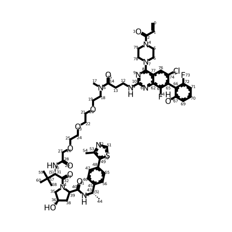 C=CC(=O)N1CCN(c2nc(NCCC(=O)N(C)CCOCCOCCOCC(=O)N[C@H](C(=O)N3CC(O)CC3C(=O)N[C@@H](C)c3ccc(-c4scnc4C)cc3)C(C)(C)C)nc3c(F)c(-c4c(O)cccc4F)c(Cl)cc23)CC1